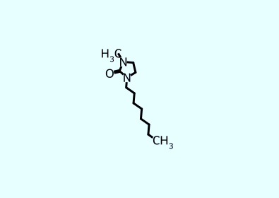 CCCCCCCCN1CCN(C)C1=O